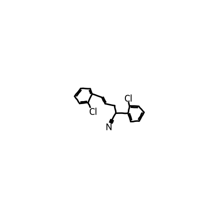 N#CC(CC=Cc1ccccc1Cl)c1ccccc1Cl